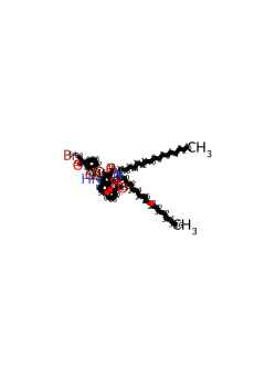 CCCCCCCCCCCCCCCCCCN(CCCCCCCCCCCCCCCCCC)C(=O)c1cc(NS(=O)(=O)c2cccc(C(=O)CBr)c2)c2ccccc2c1OC(=O)c1ccccc1